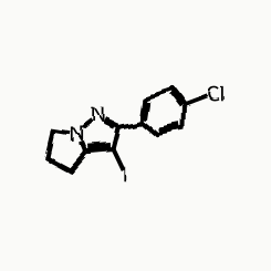 Clc1ccc(-c2nn3c(c2I)CCC3)cc1